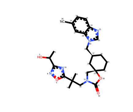 CC(O)c1noc(C(C)(C)CN2C[C@@]3(CCC[C@H](Cn4cnc5ccc(C#N)cc54)C3)OC2=O)n1